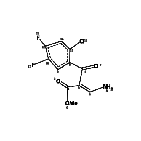 COC(=O)/C(=C/N)C(=O)c1cc(F)c(F)cc1Cl